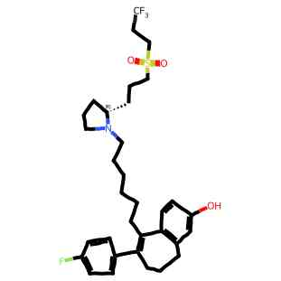 O=S(=O)(CCC[C@H]1CCCN1CCCCCCC1=C(c2ccc(F)cc2)CCCc2cc(O)ccc21)CCC(F)(F)F